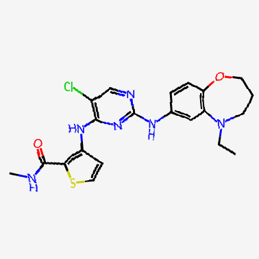 CCN1CCCOc2ccc(Nc3ncc(Cl)c(Nc4ccsc4C(=O)NC)n3)cc21